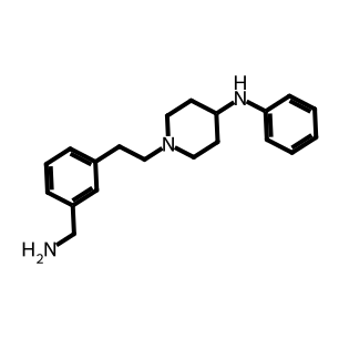 NCc1cccc(CCN2CCC(Nc3ccccc3)CC2)c1